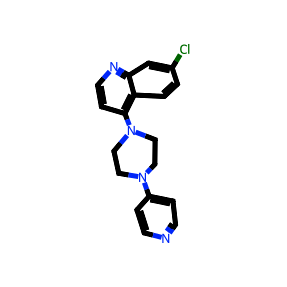 Clc1ccc2c(N3CCN(c4ccncc4)CC3)ccnc2c1